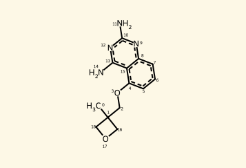 CC1(COc2cccc3nc(N)nc(N)c23)COC1